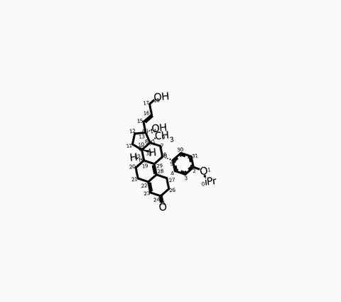 CC(C)Oc1ccc([C@H]2C[C@@]3(C)[C@@H](CC[C@@]3(O)C=CCO)[C@@H]3CCC4=CC(=O)CCC4=C32)cc1